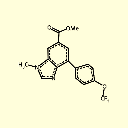 COC(=O)c1cc(-c2ccc(OC(F)(F)F)cc2)c2ncn(C)c2c1